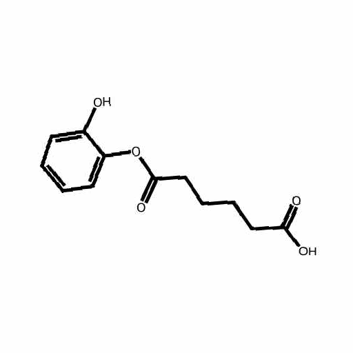 O=C(O)CCCCC(=O)Oc1ccccc1O